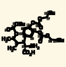 CC(C)COC(=O)OC(C)C(C)C(c1ccc(OC(=O)OCC(C)(C)C)c(OC(=O)OCC(C)(C)C)c1)[C@H](N)C(=O)O